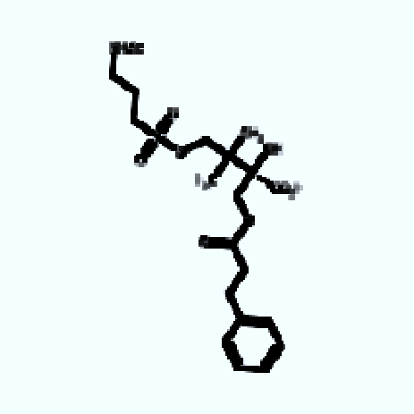 CC(=O)NCCCS(=O)(=O)OCC(C)(C)[C@@](O)(COC(=O)CCc1ccccc1)C(=O)O